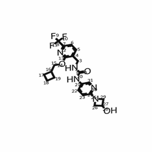 O=C(NCc1ccc(C(F)(F)F)nc1OCC1CCC1)Nc1ccc(N2CC(O)C2)nc1